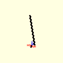 CCCCCCCCCCCCCCCCCCC(C)NC(C)(O)O